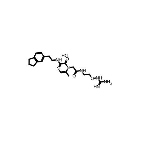 Cc1cnc(NCCc2ccc3c(c2)CCC3)c(=O)n1CC(=O)NCCONC(=N)N.Cl